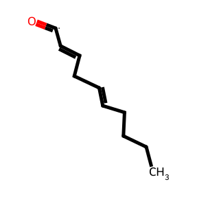 CCCC/C=C/C/C=C/[C]=O